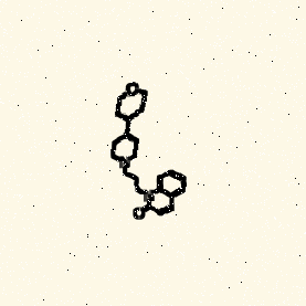 O=c1ccc2ccccc2n1CCCN1CCC(C2CCOCC2)CC1